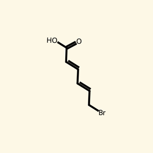 O=C(O)C=CC=CCBr